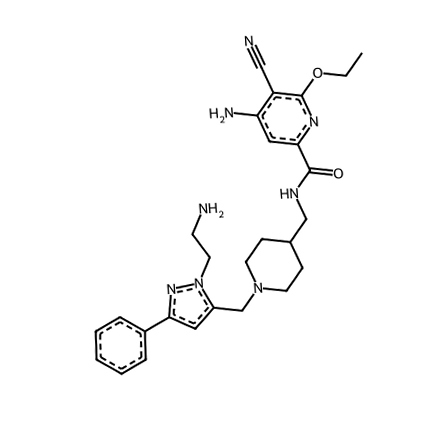 CCOc1nc(C(=O)NCC2CCN(Cc3cc(-c4ccccc4)nn3CCN)CC2)cc(N)c1C#N